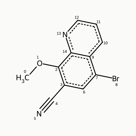 COc1c(C#N)cc(Br)c2cccnc12